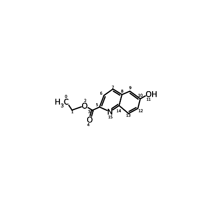 CCOC(=O)c1ccc2cc(O)ccc2n1